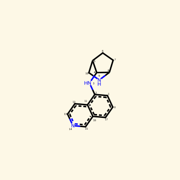 c1cc(NC2C3CCC2NC3)c2ccncc2c1